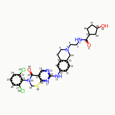 O=C(NCCN1CCc2cc(Nc3ncc4c(n3)SCN(c3c(Cl)cccc3Cl)C4=O)ccc2C1)C1CCC(O)C1